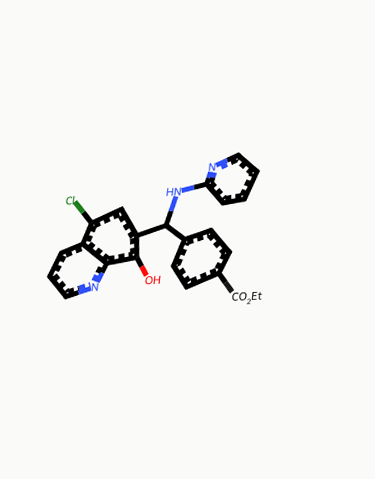 CCOC(=O)c1ccc(C(Nc2ccccn2)c2cc(Cl)c3cccnc3c2O)cc1